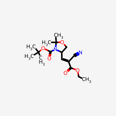 CCOC(=O)/C(C#N)=C/C1COC(C)(C)N1C(=O)OC(C)(C)C